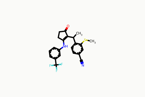 CSc1cc(C#N)ccc1C(C)C1=C(Nc2cccc(C(F)(F)F)c2)CCC1=O